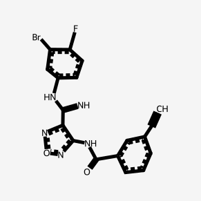 C#Cc1cccc(C(=O)Nc2nonc2C(=N)Nc2ccc(F)c(Br)c2)c1